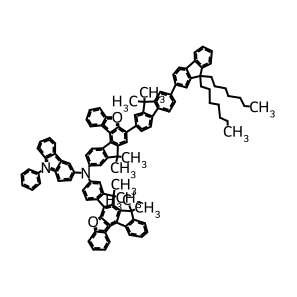 CCCCCCCC1(CCCCCCC)c2ccccc2-c2ccc(-c3ccc4c(c3)C(C)(C)c3cc(-c5cc6c(c7c5oc5ccccc57)-c5ccc(N(c7ccc8c(c7)C(C)(C)c7c9c(c%10c(oc%11ccccc%11%10)c7-8)-c7ccccc7C9(C)C)c7ccc8c(c7)c7ccccc7n8-c7ccccc7)cc5C6(C)C)ccc3-4)cc21